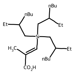 CCCCC(CC)C[Si](C=C(C)C(=O)O)(CC(CC)CCCC)CC(CC)CCCC